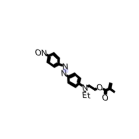 C=C(C)C(=O)OCCN(CC)c1ccc(/N=N/c2ccc(N=O)cc2)cc1